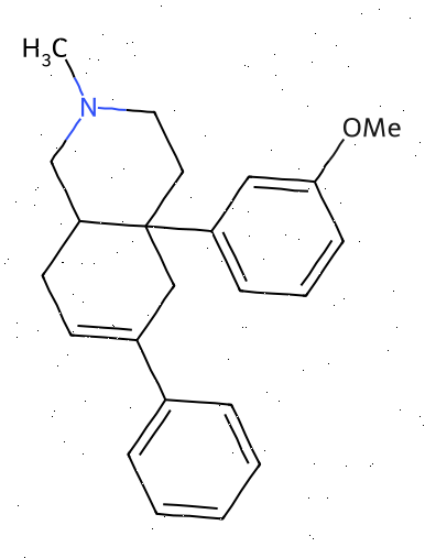 COc1cccc(C23CCN(C)CC2CC=C(c2ccccc2)C3)c1